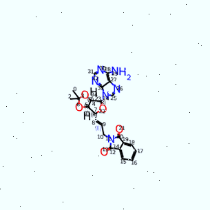 CC1(C)O[C@@H]2[C@H](O1)[C@@H](/C=C/CN1C(=O)c3ccccc3C1=O)O[C@H]2n1cnc2c(N)ncnc21